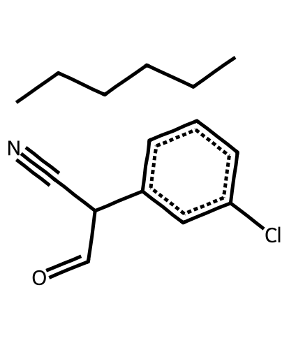 CCCCCC.N#CC(C=O)c1cccc(Cl)c1